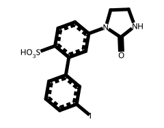 O=C1NCCN1c1ccc(S(=O)(=O)O)c(-c2cccc(I)c2)c1